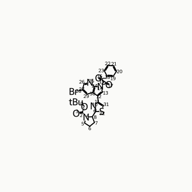 CC(C)(C)OC(=O)N1CCCC1c1nc(-c2cn(S(=O)(=O)c3ccccc3)c3ncc(Br)cc23)cs1